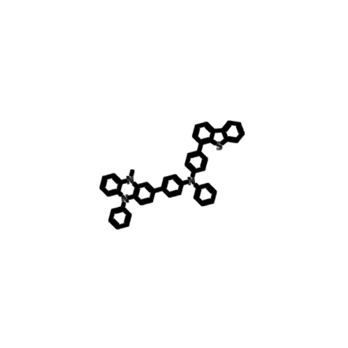 CN1c2ccccc2N(c2ccccc2)c2ccc(-c3ccc(N(c4ccccc4)c4ccc(-c5cccc6c5sc5ccccc56)cc4)cc3)cc21